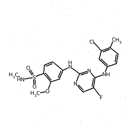 CNS(=O)(=O)c1ccc(Nc2ncc(F)c(Nc3ccc(C)c(Cl)c3)n2)cc1OC